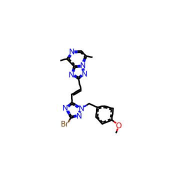 COc1ccc(Cn2nc(Br)nc2C=Cc2nc3c(C)ncc(C)n3n2)cc1